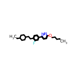 CCCCCOc1ccc(-c2ccc(CCC3CCC(CC)CC3)c(F)c2)nn1